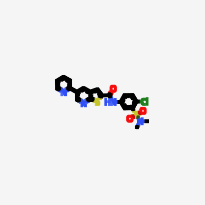 CN(C)S(=O)(=O)c1cc(NC(=O)c2cc3cc(-c4ccccn4)cnc3s2)ccc1Cl